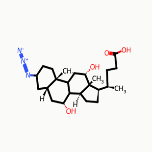 C[C@H](CCC(=O)O)[C@H]1CC[C@H]2C3C(C[C@H](O)[C@]12C)[C@@]1(C)CCC(N=[N+]=[N-])C[C@H]1C[C@H]3O